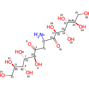 NC([CH]C(=O)[C@@H](O)[C@@H](O)[C@H](O)[C@H](O)CO)C(=O)[C@@H](O)[C@@H](O)[C@H](O)[C@H](O)CO